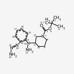 CC(C)(C)OC(=O)N1CCCC(N(N)c2cnccc2N=NN)C1